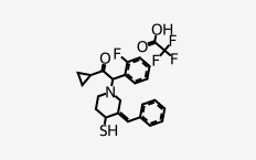 O=C(C1CC1)C(c1ccccc1F)N1CCC(S)/C(=C/c2ccccc2)C1.O=C(O)C(F)(F)F